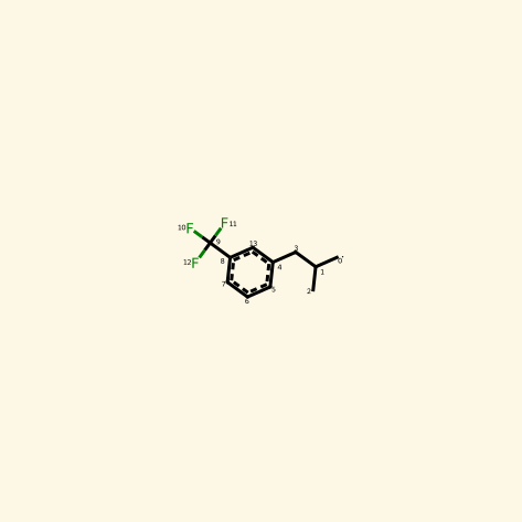 [CH2]C(C)Cc1cccc(C(F)(F)F)c1